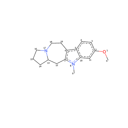 COc1ccc2c3c(n(C)c2c1)CC1CCCN1CC3